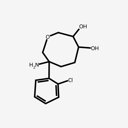 NC1(c2ccccc2Cl)CCC(O)C(O)COC1